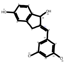 Oc1ccc2c(c1)C/C(=C\c1cc(Cl)cc(Cl)c1)C2O